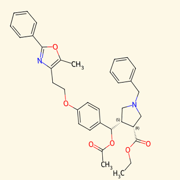 CCOC(=O)[C@H]1CN(Cc2ccccc2)C[C@H]1C(OC(C)=O)c1ccc(OCCc2nc(-c3ccccc3)oc2C)cc1